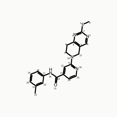 CSc1ncc2c(n1)CCN(c1cc(C(=O)Nc3cccc(C)c3)ccn1)C2